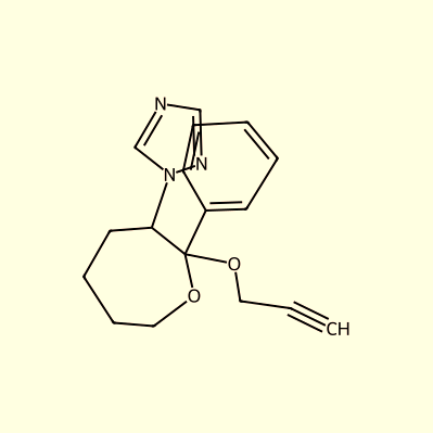 C#CCOC1(c2ccccc2)OCCCCC1n1cncn1